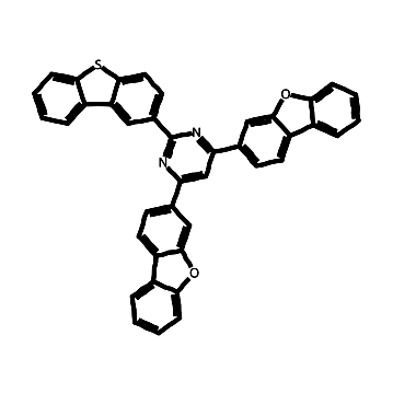 c1ccc2c(c1)oc1cc(-c3cc(-c4ccc5c(c4)oc4ccccc45)nc(-c4ccc5sc6ccccc6c5c4)n3)ccc12